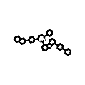 C1=C(c2ccc(-c3ccc4ccccc4c3)cc2)N=C(c2cccc3oc4c(-c5ccc(-c6ccccc6)cc5)cccc4c23)N=C(c2ccccc2)C1